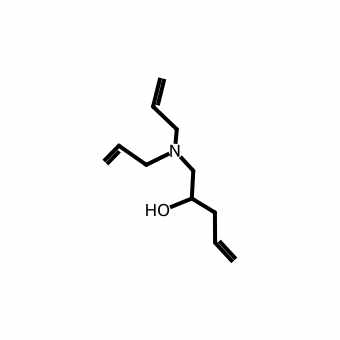 C=CCC(O)CN(CC=C)CC=C